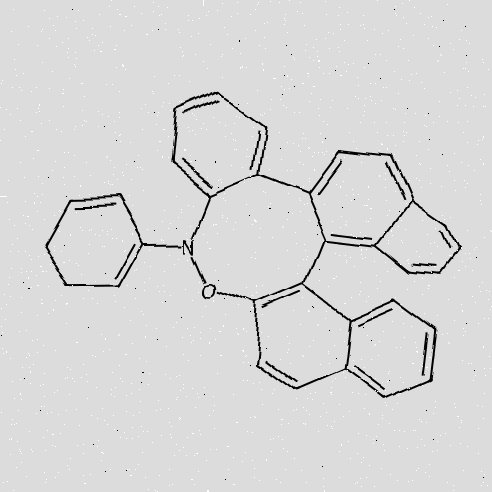 C1=CC(n2oc3ccc4ccccc4c3c3c4ccccc4ccc3c3ccccc32)=CCC1